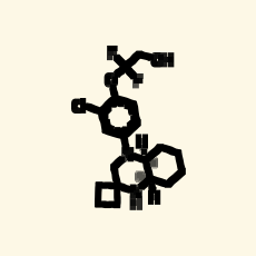 OCC(F)(F)Oc1ccc(N2CC3(CCC3)N[C@H]3CCCC[C@@H]32)cc1Cl